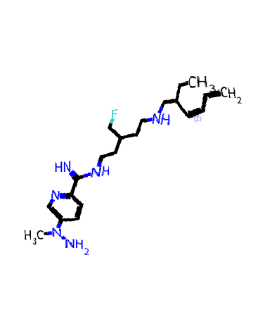 C=C/C=C\C(CC)CNCCC(CF)CCNC(=N)c1ccc(N(C)N)cn1